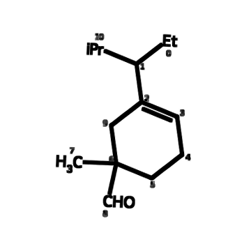 CCC(C1=CCCC(C)(C=O)C1)C(C)C